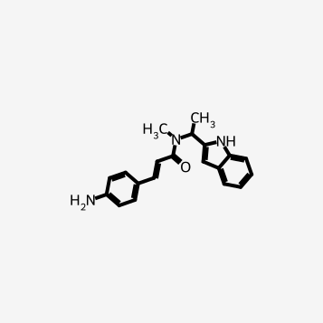 CC(c1cc2ccccc2[nH]1)N(C)C(=O)/C=C/c1ccc(N)cc1